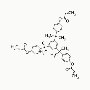 C=CC(=O)Oc1ccc(C(C)(C)c2cc(C(C)(C)c3ccc(OC(=O)C=C)cc3)cc(C(C)(C)c3ccc(OC(=O)C=C)cc3)c2)cc1